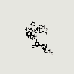 CN(C)C(=O)CN1c2c(ccnc2C(=O)NCc2cc(F)cc(-c3cnn(C)c3)c2)NC1C1CCCC1